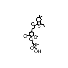 CCc1sc(C(=O)CCc2cc(Cl)c(OCCNC(=O)CO)c(OC)c2)c2c1CC(C)(C)CC2